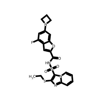 CCSc1nc2ccccn2c1S(=O)(=O)NC(=O)c1cc2c(F)cc(N3CCC3)cc2o1